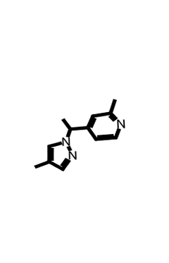 Cc1cnn(C(C)c2ccnc(C)c2)c1